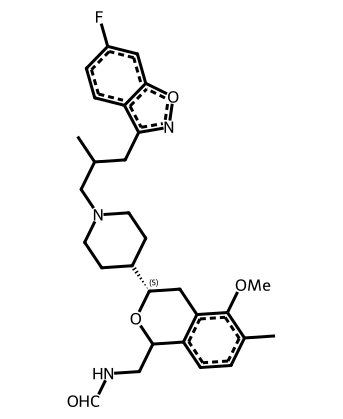 COc1c(C)ccc2c1C[C@@H](C1CCN(CC(C)Cc3noc4cc(F)ccc34)CC1)OC2CNC=O